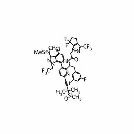 CSN(C)c1nn(CC(F)(F)F)c2c(-c3ccc(C#CC(C)(C)[S+](C)[O-])nc3C(Cc3cc(F)cc(F)c3)NC(=O)Cn3nc(C(F)(F)F)c4c3C(F)(F)CC4)ccc(Cl)c12